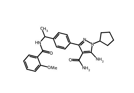 COc1ccccc1C(=O)NC(C)c1ccc(-c2nn(C3CCCC3)c(N)c2C(N)=O)cc1